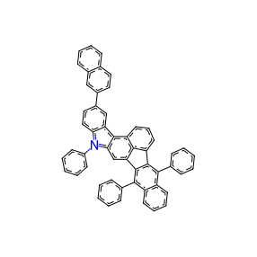 c1ccc(-c2c3c(c(-c4ccccc4)c4ccccc24)-c2cc4c(c5cccc-3c25)c2cc(-c3ccc5ccccc5c3)ccc2n4-c2ccccc2)cc1